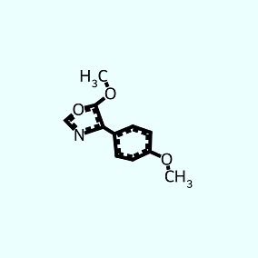 COc1ccc(-c2ncoc2OC)cc1